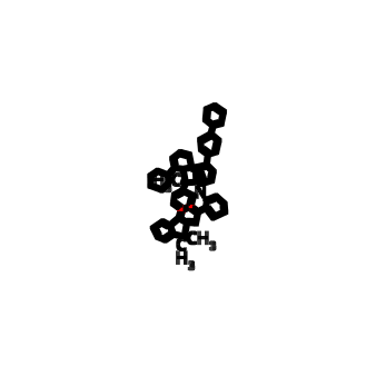 CC1(C)c2ccccc2-c2ccc(-c3ccccc3N(c3ccc(-c4ccc(-c5ccccc5)cc4)cc3)c3ccccc3C3(C)C=CC=C4C=CC=C(C5CCCCC5)C43)cc21